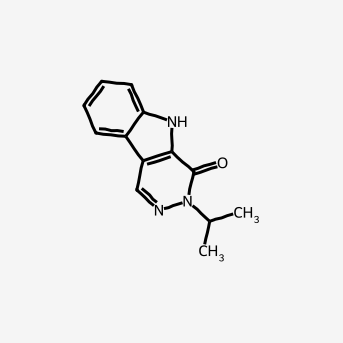 CC(C)n1ncc2c([nH]c3ccccc32)c1=O